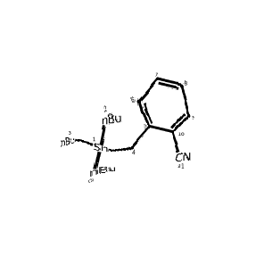 CCC[CH2][Sn]([CH2]CCC)([CH2]CCC)[CH2]c1ccccc1C#N